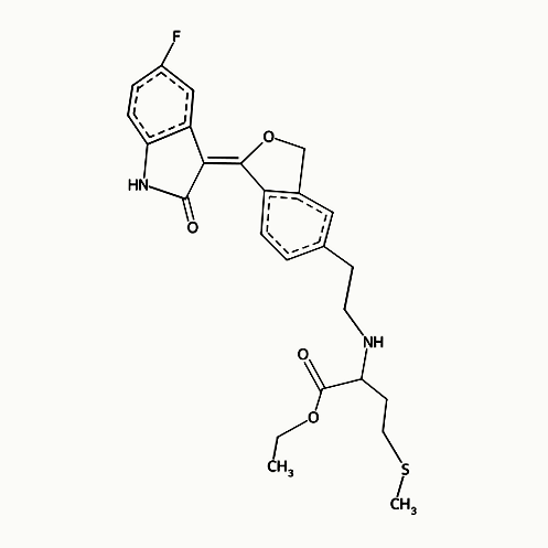 CCOC(=O)C(CCSC)NCCc1ccc2c(c1)COC2=C1C(=O)Nc2ccc(F)cc21